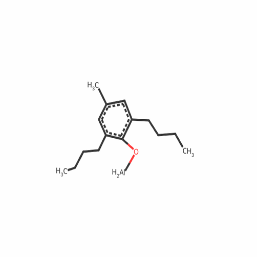 CCCCc1cc(C)cc(CCCC)c1[O][AlH2]